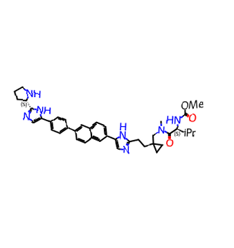 COC(=O)N[C@H](C(=O)N(C)CC1(CCc2ncc(-c3ccc4cc(-c5ccc(-c6cnc([C@@H]7CCCN7)[nH]6)cc5)ccc4c3)[nH]2)CC1)C(C)C